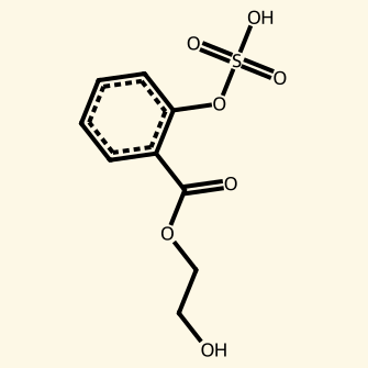 O=C(OCCO)c1ccccc1OS(=O)(=O)O